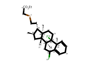 CCOC(=O)CSCC[C@H]1[C@H](C)C[C@H]2[C@@H]3CC(F)C4=CCC=C[C@]4(C)[C@@]3(F)CC[C@]12C